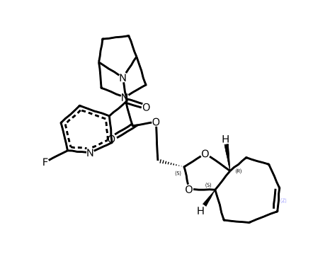 O=C(OC[C@H]1O[C@H]2CC/C=C\CC[C@H]2O1)N1CC2CCC(C1)N2C(=O)c1ccc(F)nc1